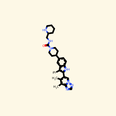 Cc1c(-c2[nH]c3ccc(C4CCN(C(=O)NCC5CCCCN5)CC4)cc3c2C(C)C)cn2ncnc2c1C